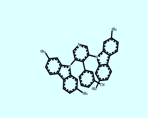 CC(C)(C)c1ccc2c3ccc(C(C)(C)C)cc3n(-c3cncc(-n4c5cc(C(C)(C)C)ccc5c5ccc(C(C)(C)C)cc54)c3-c3cccc(C#N)c3)c2c1